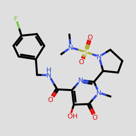 CN(C)S(=O)(=O)N1CCCC1c1nc(C(=O)NCc2ccc(F)cc2)c(O)c(=O)n1C